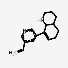 C=Cc1cncc(C2=CCCC3CCCNC23)c1